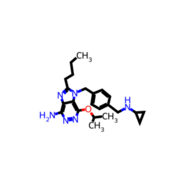 CCCCc1nc2c(N)nnc(OC(C)C)c2n1Cc1ccc(CNC2CC2)cc1